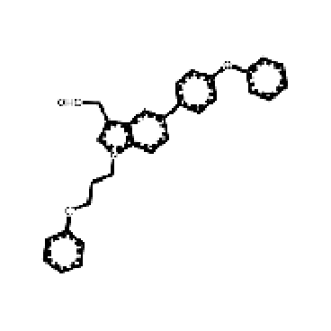 O=CCc1cn(CCCOc2ccccc2)c2ccc(-c3ccc(Oc4ccccc4)cc3)cc12